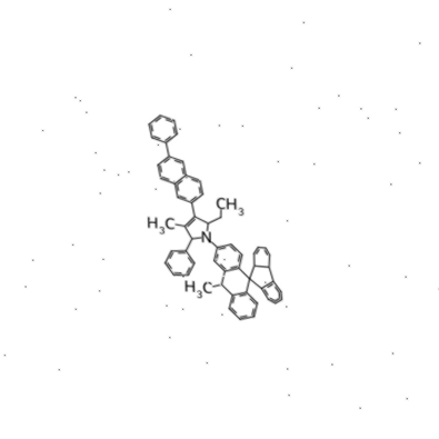 CCC1C(c2ccc3cc(-c4ccccc4)ccc3c2)=C(C)C(c2ccccc2)N1c1ccc2c(c1)C(C)c1ccccc1C21c2ccccc2C2C=CC=CC21